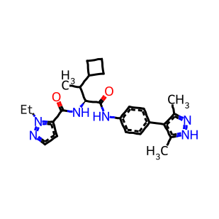 CCn1nccc1C(=O)N[C@H](C(=O)Nc1ccc(-c2c(C)n[nH]c2C)cc1)C(C)C1CCC1